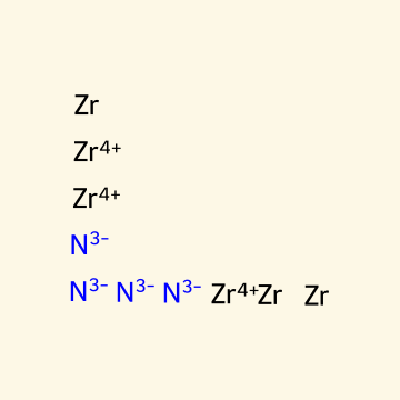 [N-3].[N-3].[N-3].[N-3].[Zr+4].[Zr+4].[Zr+4].[Zr].[Zr].[Zr]